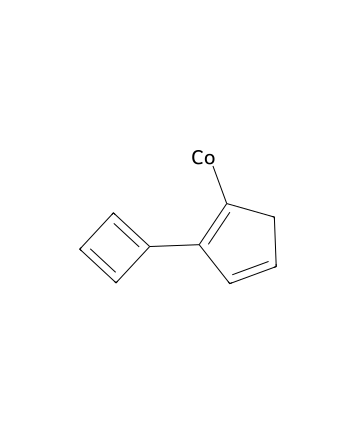 [Co][C]1=C(C2=CC=C2)C=CC1